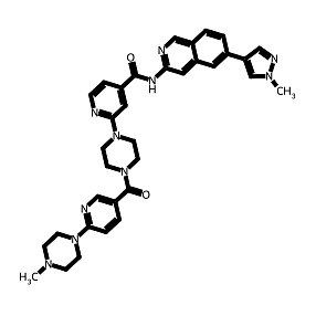 CN1CCN(c2ccc(C(=O)N3CCN(c4cc(C(=O)Nc5cc6cc(-c7cnn(C)c7)ccc6cn5)ccn4)CC3)cn2)CC1